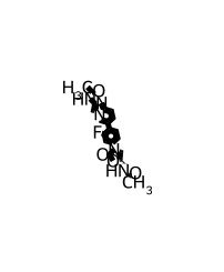 CC(=O)NC[C@H]1CN(c2ccc(-c3ccc4nc(NC(C)=O)cn4c3)c(F)c2)C(=O)O1